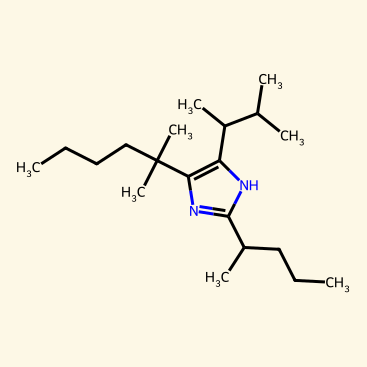 CCCCC(C)(C)c1nc(C(C)CCC)[nH]c1C(C)C(C)C